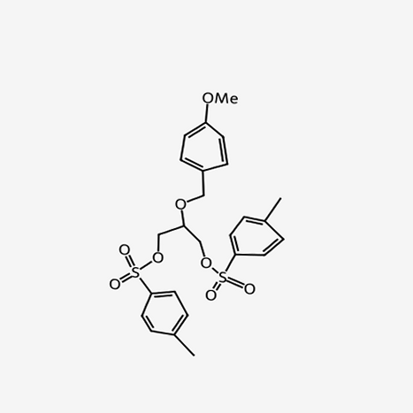 COc1ccc(COC(COS(=O)(=O)c2ccc(C)cc2)COS(=O)(=O)c2ccc(C)cc2)cc1